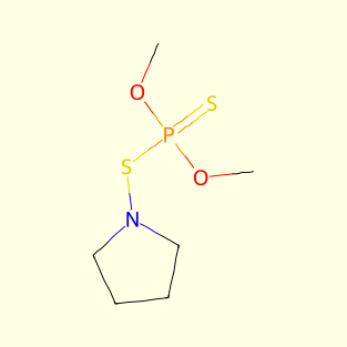 COP(=S)(OC)SN1CCCC1